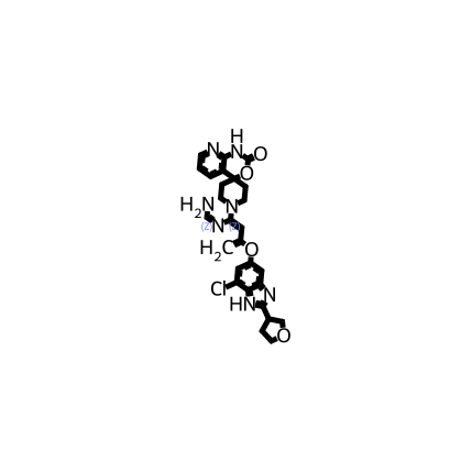 C=C(/C=C(\N=C/N)N1CCC2(CC1)OC(=O)Nc1ncccc12)Oc1cc(Cl)c2[nH]c(C3CCOC3)nc2c1